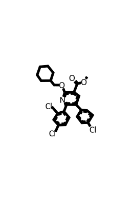 COC(=O)c1cc(-c2ccc(Cl)cc2)c(-c2ccc(Cl)cc2Cl)nc1OCC1CCCCC1